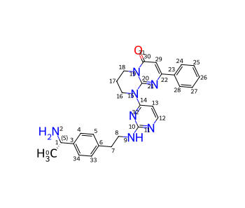 C[C@H](N)c1ccc(CCNc2nccc(N3CCCn4c3nc(-c3ccccc3)cc4=O)n2)cc1